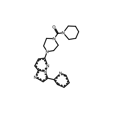 O=C(N1CCCCC1)N1CCN(c2ccc3ncc(-c4ccccn4)n3n2)CC1